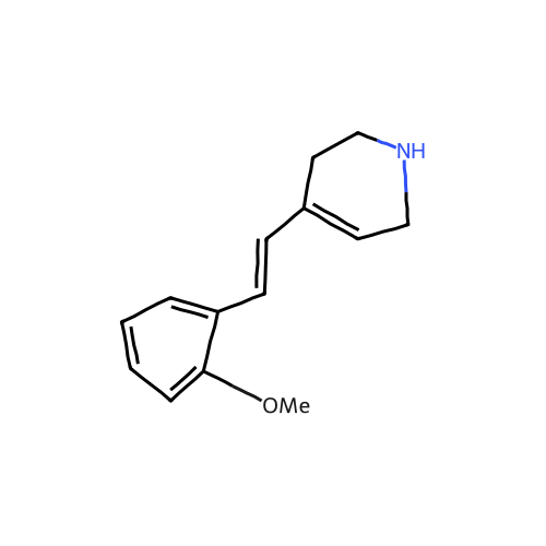 COc1ccccc1C=CC1=CCNCC1